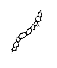 c1scc2cc3c(cc12)sc1cc2cc4cc5c(cc4cc2cc13)sc1cc2cscc2cc15